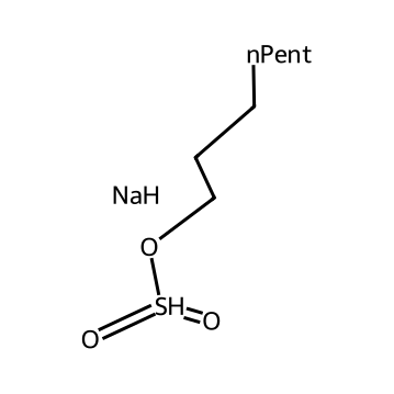 CCCCCCCCO[SH](=O)=O.[NaH]